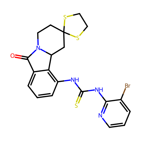 O=C1c2cccc(NC(=S)Nc3ncccc3Br)c2C2CC3(CCN12)SCCS3